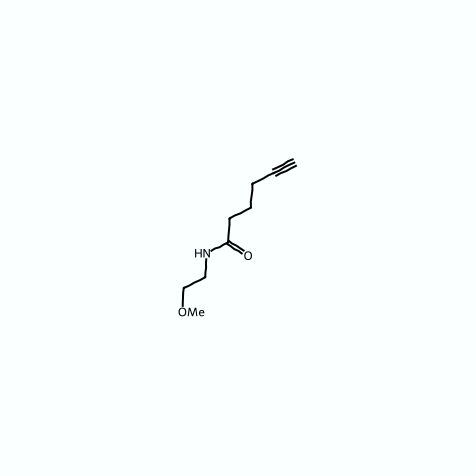 C#CCCCC(=O)NCCOC